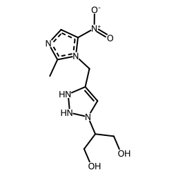 Cc1ncc([N+](=O)[O-])n1CC1=CN(C(CO)CO)NN1